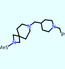 CSN1CC2(CCN(CC3CCN(CC(C)C)CC3)CC2)C1